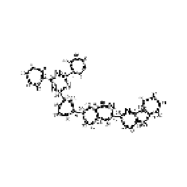 c1ccc(-c2nc(-c3ccccc3)nc(-c3cccc(-c4ccc5cc(-c6ccc7sc8ccccc8c7n6)ncc5c4)c3)n2)cc1